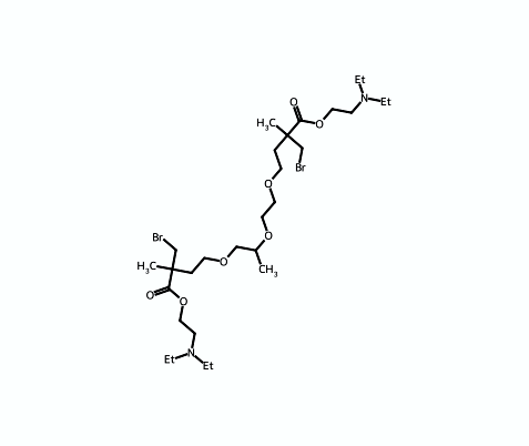 CCN(CC)CCOC(=O)C(C)(CBr)CCOCCOC(C)COCCC(C)(CBr)C(=O)OCCN(CC)CC